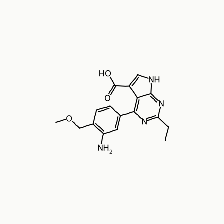 CCc1nc(-c2ccc(COC)c(N)c2)c2c(C(=O)O)c[nH]c2n1